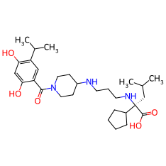 CC(C)C[C@](NCCCNC1CCN(C(=O)c2cc(C(C)C)c(O)cc2O)CC1)(C(=O)O)C1CCCC1